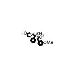 COc1cccc(CC(=O)N(C)C(CN2CCC(O)C2)c2ccccc2)c1